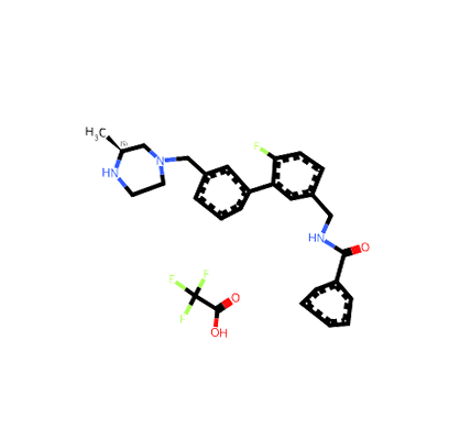 C[C@H]1CN(Cc2cccc(-c3cc(CNC(=O)c4ccccc4)ccc3F)c2)CCN1.O=C(O)C(F)(F)F